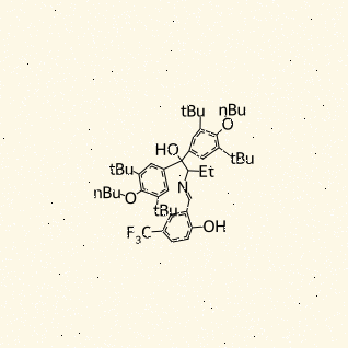 CCCCOc1c(C(C)(C)C)cc(C(O)(c2cc(C(C)(C)C)c(OCCCC)c(C(C)(C)C)c2)C(CC)N=Cc2cc(C(F)(F)F)ccc2O)cc1C(C)(C)C